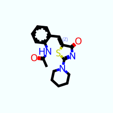 CC(=O)Nc1ccccc1/C=C1\SC(N2CCCCC2)=NC1=O